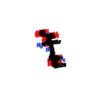 COc1cccc2c1C(=O)c1c(O)c3c(c(O)c1C2=O)C[C@@](O)(/C(CO)=N/NC(=O)c1ccc(-n2cc(CCCC(=O)NCCSCCCO[C@H]4[C@@H](OC)O[C@H](CO[C@H]5O[C@H](CO[C@H]6O[C@H](CO)[C@@H](O)[C@H](O)[C@H]6OCCCSCCNC(=O)CS[C@H]6OC(CO)[C@@H](O)[C@H](O)C6O)[C@@H](O)[C@H](O)[C@H]5OCCCSCCN)[C@@H](O)[C@@H]4O)nn2)cc1)C[C@@H]3O[C@H]1C[C@H](N)[C@H](O)[C@H](C)O1